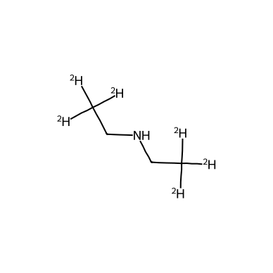 [2H]C([2H])([2H])CNCC([2H])([2H])[2H]